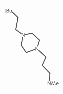 CNCCCN1CCN(CCC(C)(C)C)CC1